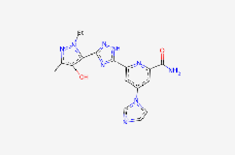 CCn1nc(C)c(O)c1-c1n[nH]c(-c2cc(-n3ccnc3)cc(C(N)=O)n2)n1